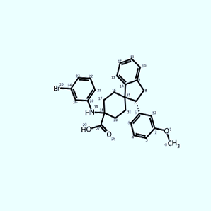 COc1cccc([C@H]2Cc3ccccc3C23CCC(Nc2cccc(Br)c2)(C(=O)O)CC3)c1